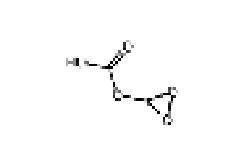 O=C(O)OC1OO1